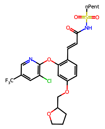 CCCCCS(=O)(=O)NC(=O)/C=C/c1ccc(OCC2CCCO2)cc1Oc1ncc(C(F)(F)F)cc1Cl